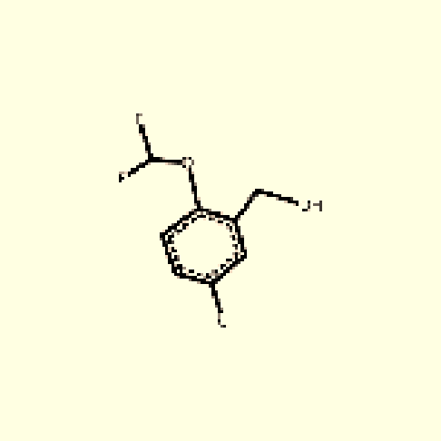 O[CH]c1cc(Cl)ccc1OC(F)F